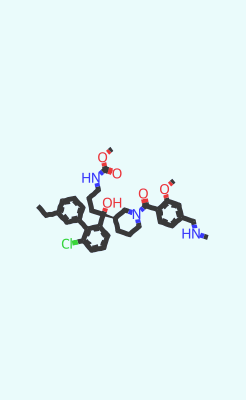 CCc1cccc(-c2c(Cl)cccc2C(O)(CCCNC(=O)OC)[C@@H]2CCCN(C(=O)c3ccc(CNC)cc3OC)C2)c1